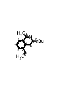 C=Cc1cccc2c1CC(CCCC)N=C2C